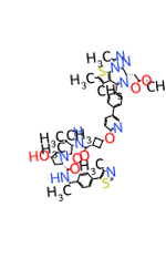 COC(=O)C[C@@H]1N=C(c2ccc(-c3ccc(O[C@H]4C[C@H](C(=O)N[C@H](C(=O)N5C[C@H](O)C[C@H]5C(=O)N[C@@H](C)c5ccc(-c6scnc6C)cc5)C(C)(C)C)C4)nc3)cc2)c2c(sc(C)c2C)-n2c(C)nnc21